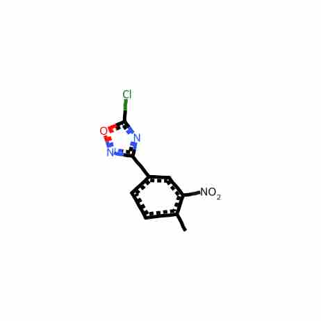 Cc1ccc(-c2noc(Cl)n2)cc1[N+](=O)[O-]